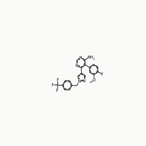 COc1cc(-c2c(N)ncnc2-c2cnn(Cc3ccc(C(F)(F)F)cc3)c2)ccc1F